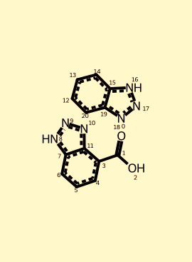 O=C(O)c1cccc2[nH]nnc12.c1ccc2[nH]nnc2c1